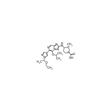 CCOC(C)n1cc(-c2ncc3nc(NC4CCN(C(=O)O)C[C@H]4C)nn3c2OC(C)C)cn1